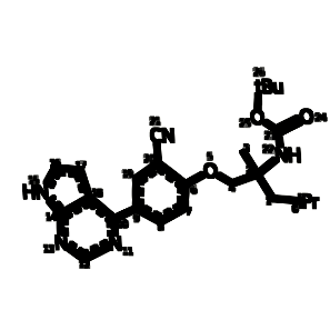 CC(C)CC(C)(COc1ccc(-c2ncnc3[nH]ccc23)cc1C#N)NC(=O)OC(C)(C)C